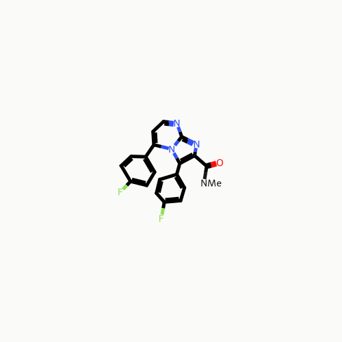 CNC(=O)c1nc2nccc(-c3ccc(F)cc3)n2c1-c1ccc(F)cc1